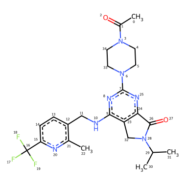 CC(=O)N1CCN(c2nc(NCc3ccc(C(F)(F)F)nc3C)c3c(n2)C(=O)N(C(C)C)C3)CC1